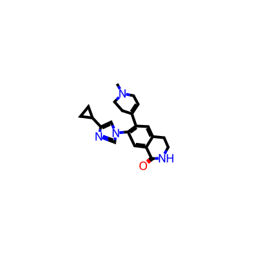 CN1CC=C(c2cc3c(cc2-n2cnc(C4CC4)c2)C(=O)NCC3)CC1